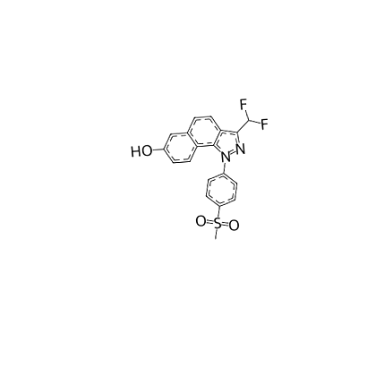 CS(=O)(=O)c1ccc(-n2nc(C(F)F)c3ccc4cc(O)ccc4c32)cc1